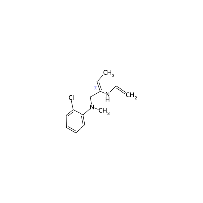 C=CN/C(=C\C)CN(C)c1ccccc1Cl